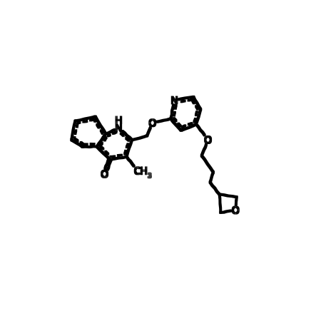 Cc1c(COc2cc(OCCCC3COC3)ccn2)[nH]c2ccccc2c1=O